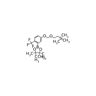 CC1(C)OB(c2cc(OCOCC[Si](C)(C)C)ccc2C(F)(F)F)OC1(C)C